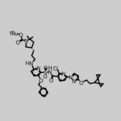 CC(C)(C)OC(=O)N1C[C@@H](CCCNc2ccc(OCc3ccccc3)c(S(=O)(=O)NC(=O)c3ccc(-n4ccc(OCCC5C6(CC6)C56CC6)n4)nc3Cl)n2)CC1(C)C